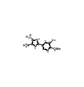 COc1ncc(-c2nc(N)c(C)s2)cc1F